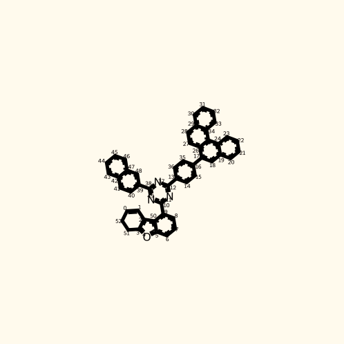 C1=Cc2c(oc3cccc(-c4nc(-c5ccc(-c6cc7ccccc7c7c6ccc6ccccc67)cc5)nc(-c5ccc6ccccc6c5)n4)c23)CC1